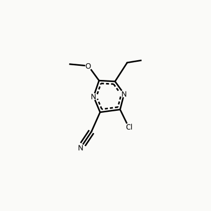 CCc1nc(Cl)c(C#N)nc1OC